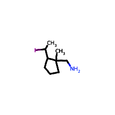 CC(I)C1CCCC1(C)CN